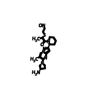 Cc1cn2nc([C@@H]3CCCCN3C(=O)C(C)SCCN=O)cc2nc1N1CC[C@H](N)C1